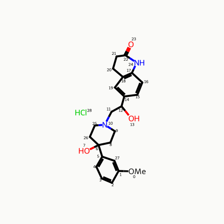 COc1cccc(C2(O)CCN(CC(O)c3ccc4c(c3)CCC(=O)N4)CC2)c1.Cl